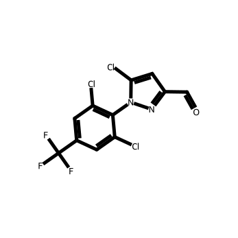 O=Cc1cc(Cl)n(-c2c(Cl)cc(C(F)(F)F)cc2Cl)n1